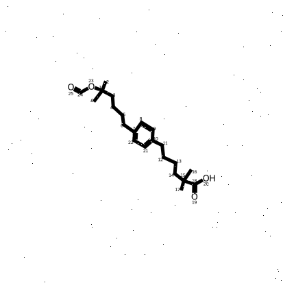 CC(C)(CCCCc1ccc(CCCCC(C)(C)C(=O)O)cc1)OC=O